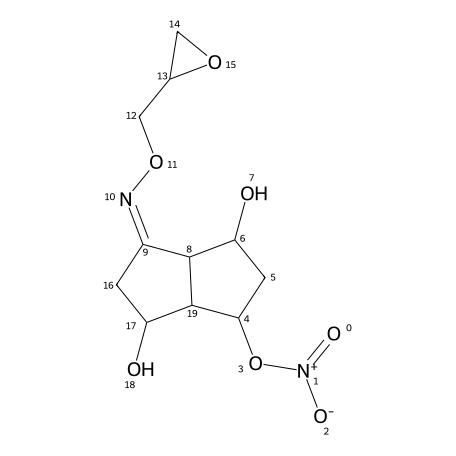 O=[N+]([O-])OC1CC(O)C2C(=NOCC3CO3)CC(O)C12